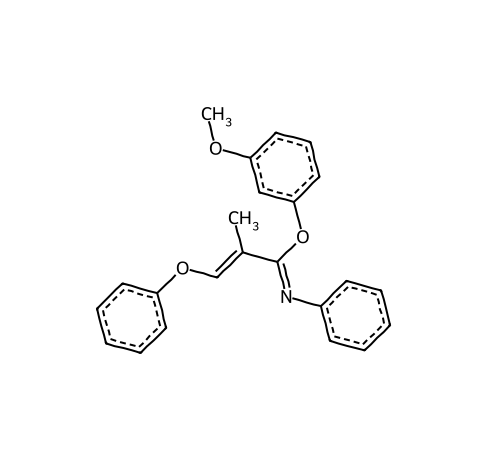 COc1cccc(OC(=N\c2ccccc2)/C(C)=C/Oc2ccccc2)c1